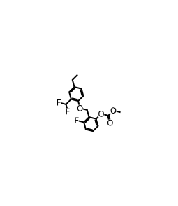 CCc1ccc(OCc2c(F)cccc2OC(=O)OC)c(C(F)F)c1